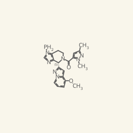 COc1cccn2nc([C@@H]3c4ncn(P)c4CCN3C(=O)c3cc(C)nn3C)cc12